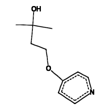 CC(C)(O)CCOc1ccncc1